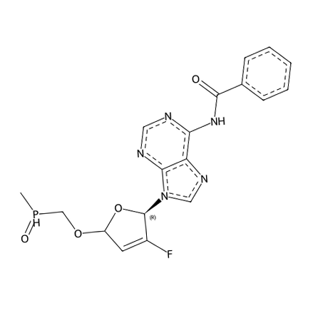 C[PH](=O)COC1C=C(F)[C@H](n2cnc3c(NC(=O)c4ccccc4)ncnc32)O1